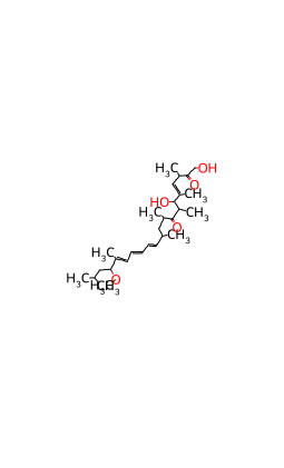 COC(CC(C)C)/C(C)=C/C=C/C=C/C(C)CC(C)C(=O)C(C)C(O)/C(C)=C/C(C)C(=O)CO